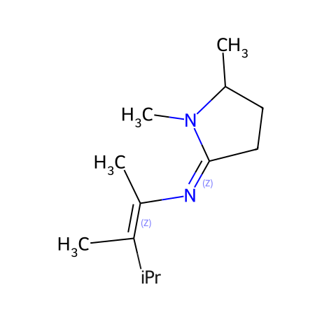 CC(/N=C1/CCC(C)N1C)=C(\C)C(C)C